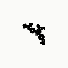 CC(C)Oc1ccc(-c2nc(-c3ccc(CN(C4CCC4)C4CCC4)cc3)no2)cc1.O=CO